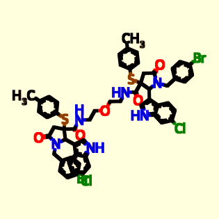 Cc1ccc(SC2(C(=O)NCCOCCNC(=O)C3(Sc4ccc(C)cc4)CC(=O)N(Cc4ccc(Br)cc4)C3c3c[nH]c4cc(Cl)ccc34)CC(=O)N(Cc3ccc(Br)cc3)C2c2c[nH]c3cc(Cl)ccc23)cc1